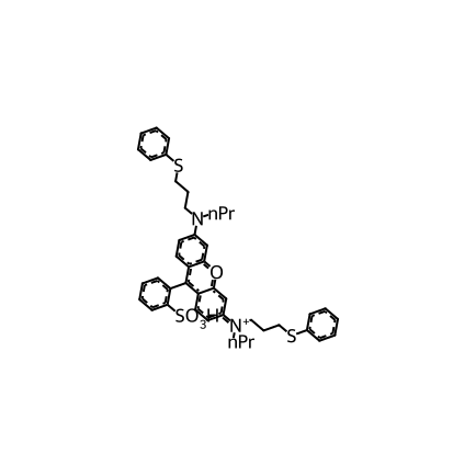 CCCN(CCCSc1ccccc1)c1ccc2c(-c3ccccc3S(=O)(=O)O)c3cc/c(=[N+](\CCC)CCCSc4ccccc4)cc-3oc2c1